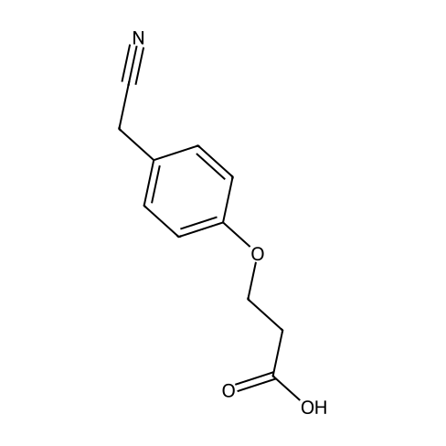 N#CCc1ccc(OCCC(=O)O)cc1